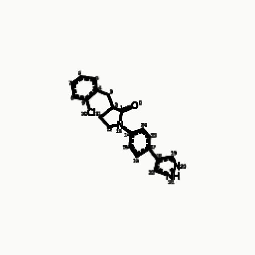 O=C1C(Cc2ccccc2Cl)CCN1c1ccc(-c2cn[nH]c2)cc1